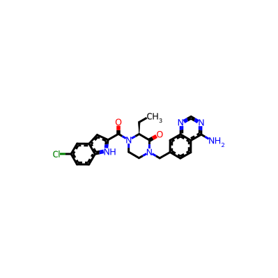 CC[C@H]1C(=O)N(Cc2ccc3c(N)ncnc3c2)CCN1C(=O)c1cc2cc(Cl)ccc2[nH]1